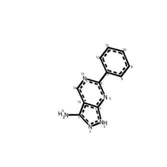 Nc1n[nH]c2nc(-c3ccccc3)ncc12